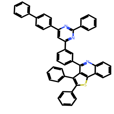 c1ccc(-c2ccc(-c3cc(-c4cccc(-c5nc6ccccc6c6sc(-c7ccccc7)c(-c7ccccc7)c56)c4)nc(-c4ccccc4)n3)cc2)cc1